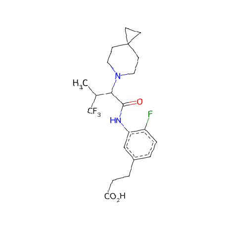 CC(C(C(=O)Nc1cc(CCC(=O)O)ccc1F)N1CCC2(CC1)CC2)C(F)(F)F